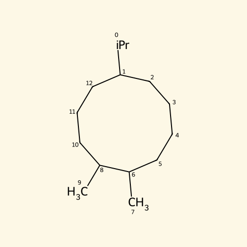 CC(C)C1CCCCC(C)C(C)CCC1